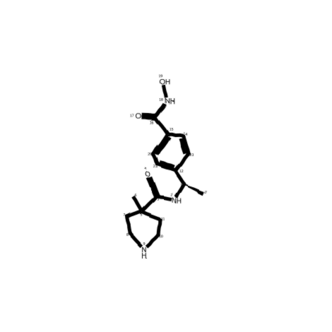 C[C@@H](NC(=O)C1(C)CCNCC1)c1ccc(C(=O)NO)cc1